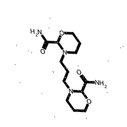 NC(=O)C1OCCCN1CCCN1CCCOC1C(N)=O